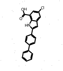 O=C(O)c1cc(Cl)cc2cc(-c3ccc(-c4ccccc4)cc3)[nH]c12